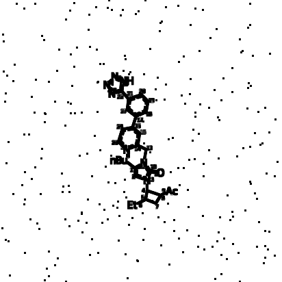 CCCCc1cn(C2C(CC)CC2C(C)=O)c(=O)n1Cc1cc(-c2cccc(-c3nnn[nH]3)c2)ccn1